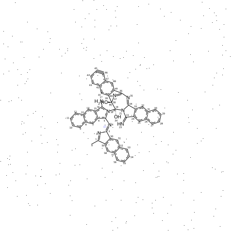 CC1=N/C(=N\c2c3cc4ccccc4cc3c(N)n2[C@]2(O)N3C(=N)c4cc5ccccc5cc4C3=NC3=N[C@@]2(O)c2cc4ccc#cc4cc23)c2cc3ccccc3cc21